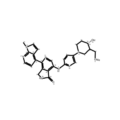 COCC1CN(c2ccc(Nc3cnc(-c4ccnc5c4ccn5C)c4c3C(=O)NC4)nc2)CC[C@@H]1O